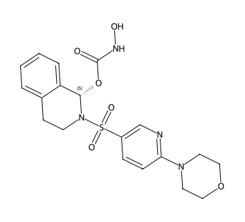 O=C(NO)O[C@H]1c2ccccc2CCN1S(=O)(=O)c1ccc(N2CCOCC2)nc1